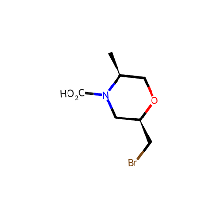 C[C@H]1CO[C@@H](CBr)CN1C(=O)O